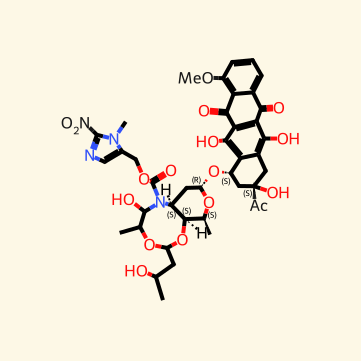 COc1cccc2c1C(=O)c1c(O)c3c(c(O)c1C2=O)C[C@@](O)(C(C)=O)C[C@@H]3O[C@H]1C[C@H]2[C@H](OC(CC(C)O)OC(C)C(O)N2C(=O)OCc2cnc([N+](=O)[O-])n2C)[C@H](C)O1